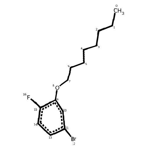 CCCCCCCCOc1cc(Br)ccc1F